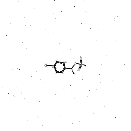 C[C@H](OS(C)(=O)=O)c1ccc(Cl)cn1